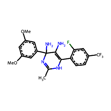 COc1cc(OC)cc(C2(N)N=C(C)NC(c3ccc(C(F)(F)F)cc3F)=C2N)c1